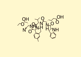 CCOC(O)C[C@@H](C#N)NC(=O)[C@@H]1c2ccc(C)cc2CCN1C(=O)[C@@H](NC(=O)[C@H](CCCC(=O)O)NC(=O)C1Cc2ccccc2N1)C(C)C